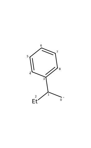 [CH2]C(CC)c1[c]cccc1